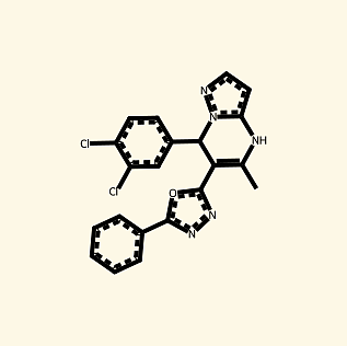 CC1=C(c2nnc(-c3ccccc3)o2)C(c2ccc(Cl)c(Cl)c2)n2nccc2N1